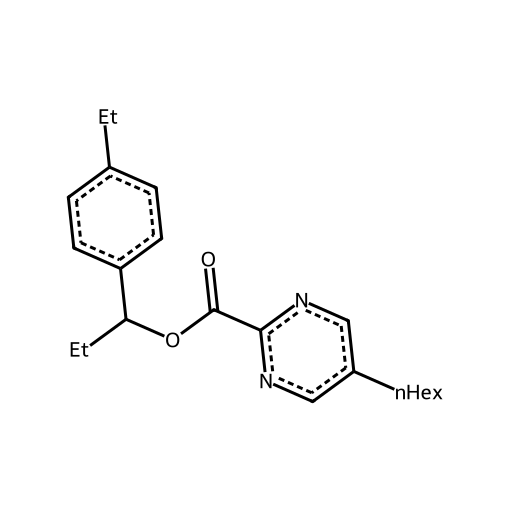 CCCCCCc1cnc(C(=O)OC(CC)c2ccc(CC)cc2)nc1